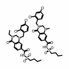 CCCCS(=O)(=O)NC(=O)c1ccc2c(c1)N(C)CN(Cc1ccc(Cl)cc1Cl)C2=O.CCCCS(=O)(=O)NC(=O)c1ccc2c(c1)N(Cc1ccc(Cl)cc1Cl)CN(CC)C2=O